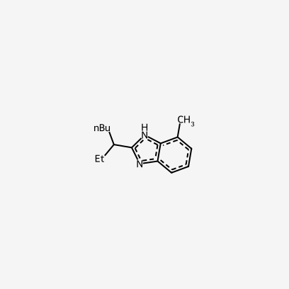 CCCCC(CC)c1nc2cccc(C)c2[nH]1